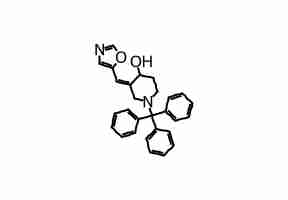 OC1CCN(C(c2ccccc2)(c2ccccc2)c2ccccc2)CC1=Cc1cnco1